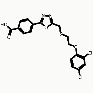 O=C(O)c1ccc(-c2nnc(CSCCOc3ccc(Cl)cc3Cl)o2)cc1